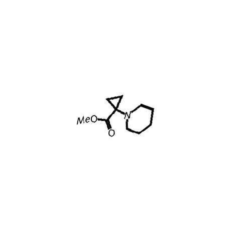 COC(=O)C1(N2CCCCC2)CC1